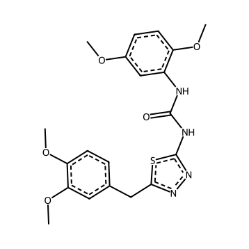 COc1ccc(OC)c(NC(=O)Nc2nnc(Cc3ccc(OC)c(OC)c3)s2)c1